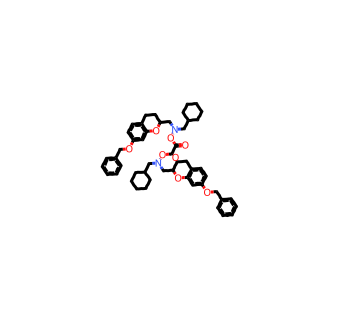 O=C(ON(CC1CCCCC1)CC1CCc2ccc(OCc3ccccc3)cc2O1)C(=O)ON(CC1CCCCC1)CC1CCc2ccc(OCc3ccccc3)cc2O1